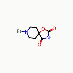 CCN1CCC2(CC1)OC(=O)[N]C2=O